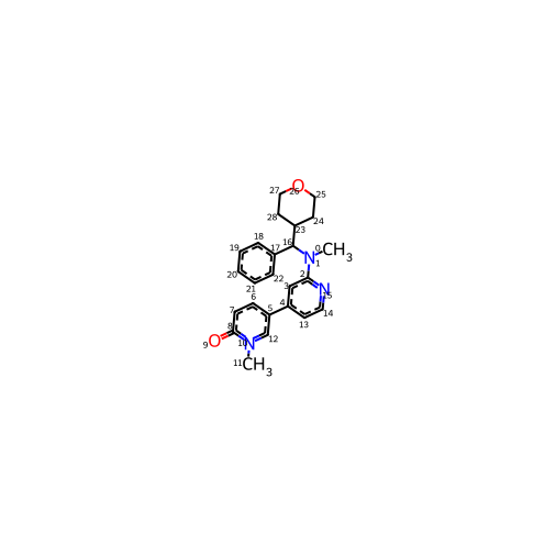 CN(c1cc(-c2ccc(=O)n(C)c2)ccn1)C(c1ccccc1)C1CCOCC1